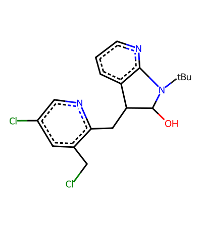 CC(C)(C)N1c2ncccc2C(Cc2ncc(Cl)cc2CCl)C1O